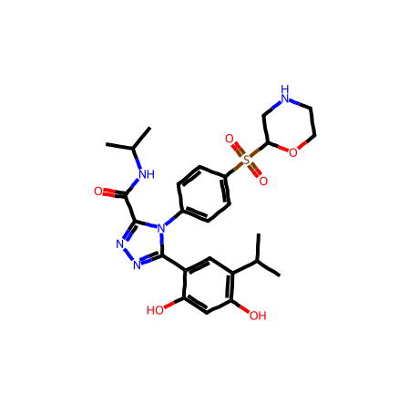 CC(C)NC(=O)c1nnc(-c2cc(C(C)C)c(O)cc2O)n1-c1ccc(S(=O)(=O)C2CNCCO2)cc1